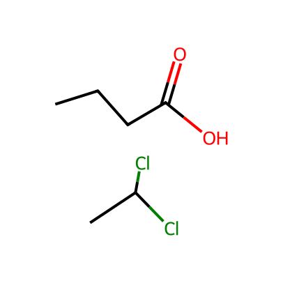 CC(Cl)Cl.CCCC(=O)O